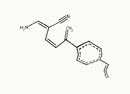 C=C(/C=C\C(C#N)=C/N)c1ccc(C=O)cc1